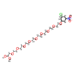 COC(COCCOCCOCCOCCOCCOCCOCCOCCOc1cc(Cl)cc([N+](=O)[O-])c1)OC